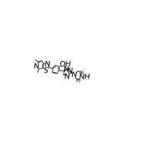 Cc1cc2nc(-c3ccc(-c4cnc(N5C[C@@H](C)N[C@@H](C)C5)nn4)c(O)c3)sc2c(C)n1